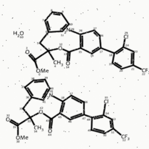 COC(=O)C(C)(Cc1ccccc1)OC(=O)c1cc(-c2ccc(C(F)(F)F)cc2Cl)ccc1[N+](=O)[O-].COC(=O)C(C)(Cc1ccccc1)OC(=O)c1cc(-c2ccc(C(F)(F)F)cc2Cl)ccc1[N+](=O)[O-].O